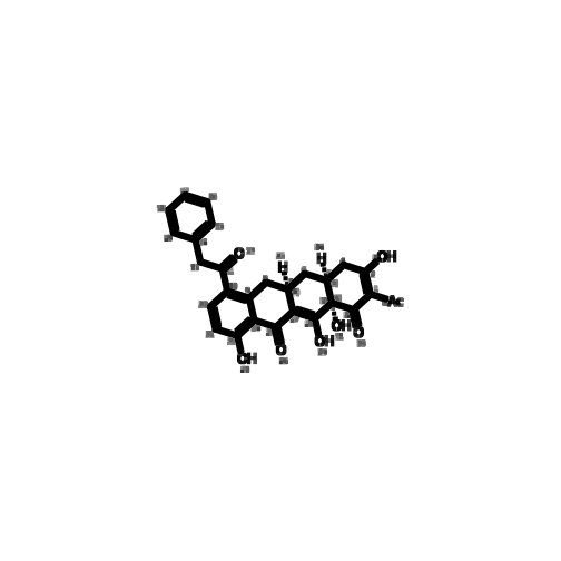 CC(=O)C1=C(O)C[C@@H]2C[C@@H]3Cc4c(C(=O)Cc5ccccc5)ccc(O)c4C(=O)C3=C(O)[C@]2(O)C1=O